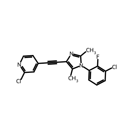 Cc1nc(C#Cc2ccnc(Cl)c2)c(C)n1-c1cccc(Cl)c1F